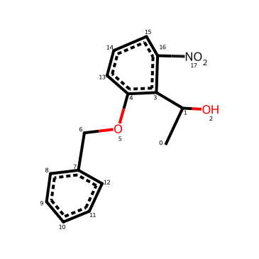 CC(O)c1c(OCc2ccccc2)cccc1[N+](=O)[O-]